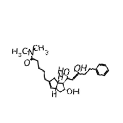 CN(C)C(=O)CCCCC1=C[C@H]2C[C@@H](O)[C@H](C(O)C=C(O)CCc3ccccc3)[C@H]2C1